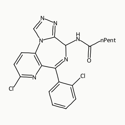 CCCCCC(=O)NC1N=C(c2ccccc2Cl)c2nc(Cl)ccc2-n2cnnc21